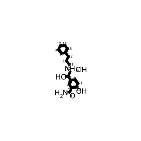 Cl.NC(=O)c1cc(C(O)CNCCCc2ccccc2)ccc1O